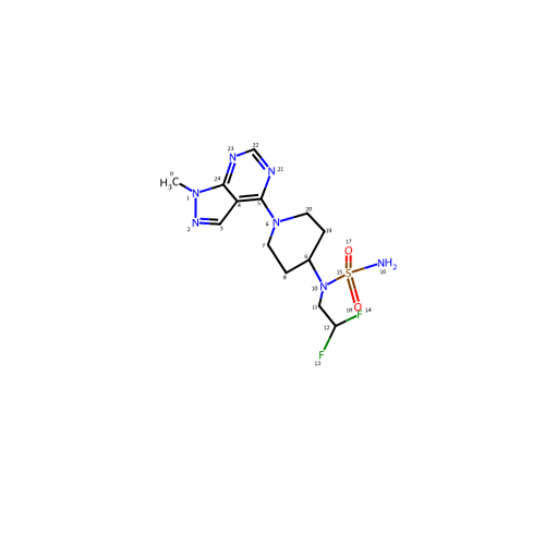 Cn1ncc2c(N3CCC(N(CC(F)F)S(N)(=O)=O)CC3)ncnc21